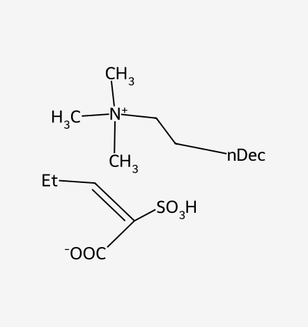 CC/C=C(\C(=O)[O-])S(=O)(=O)O.CCCCCCCCCCCC[N+](C)(C)C